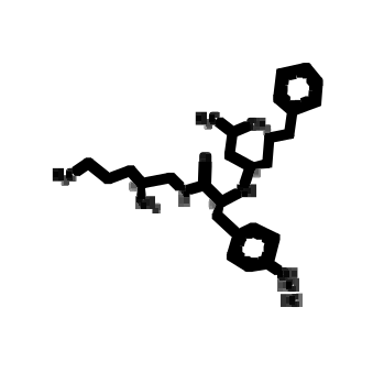 CCCC[C@H](N)CNC(=O)[C@H](Cc1ccc(O)cc1)N[C@H](CCCc1ccccc1)CC(C)C.Cl.Cl